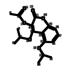 CC(=O)Oc1c(OC(C)C)c2c(OC(C)C)cccc2oc1=O